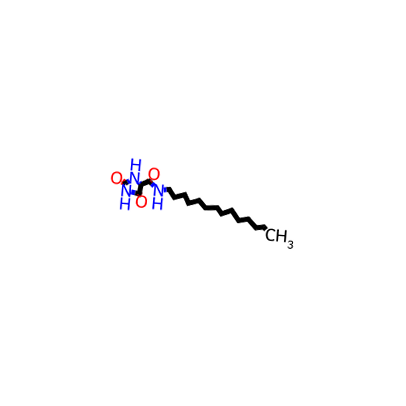 CCCCCCCCCCCCCCNC(=O)C1NC(=O)NC1=O